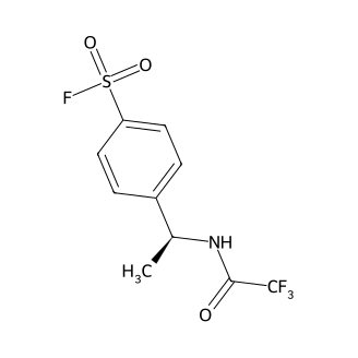 C[C@H](NC(=O)C(F)(F)F)c1ccc(S(=O)(=O)F)cc1